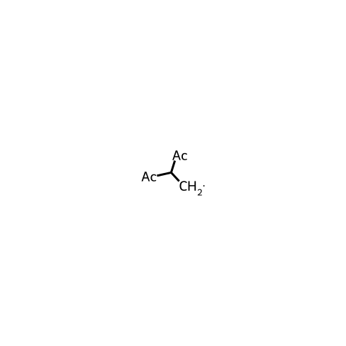 [CH2]C(C(C)=O)C(C)=O